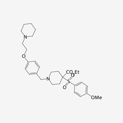 CCOC(=O)C1(S(=O)(=O)c2ccc(OC)cc2)CCN(Cc2ccc(OCCN3CCCCC3)cc2)CC1